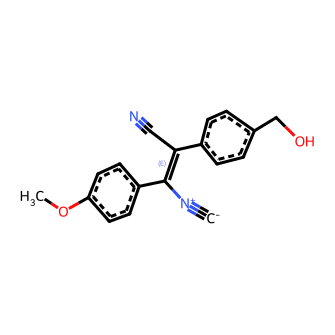 [C-]#[N+]/C(=C(/C#N)c1ccc(CO)cc1)c1ccc(OC)cc1